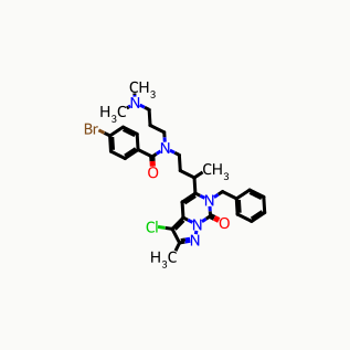 Cc1nn2c(=O)n(Cc3ccccc3)c(C(C)CCN(CCCN(C)C)C(=O)c3ccc(Br)cc3)cc2c1Cl